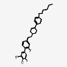 CCCCCCc1ccc(C2CCC(CCc3ccc(-c4cc(F)c(Cl)c(F)c4)c(F)c3)CC2)cc1